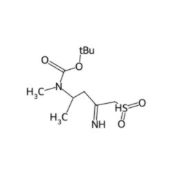 CC(CC(=N)C[SH](=O)=O)N(C)C(=O)OC(C)(C)C